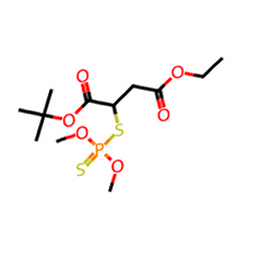 CCOC(=O)CC(SP(=S)(OC)OC)C(=O)OC(C)(C)C